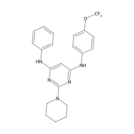 FC(F)(F)Oc1ccc(Nc2cc(Nc3ccccc3)nc(N3CCCCC3)n2)cc1